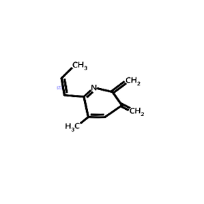 C=c1cc(C)c(/C=C\C)nc1=C